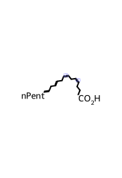 CCCCCC=CCC=CC/C=C\C/C=C\CCCC(=O)O